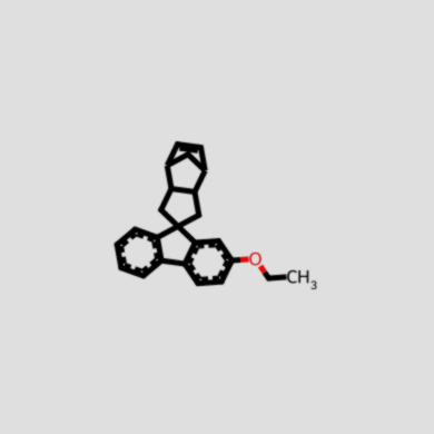 CCOc1ccc2c(c1)C1(CC3C4C=CC(C4)C3C1)c1ccccc1-2